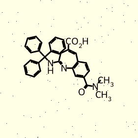 CN(C)C(=O)c1ccc2c(c1)N=C(NC(c1ccccc1)(c1ccccc1)c1ccccc1)CC(C(=O)O)=C2